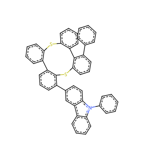 c1ccc(-c2cccc3c2-c2ccccc2Sc2ccccc2-c2cccc(-c4ccc5c(c4)c4ccccc4n5-c4ccccc4)c2S3)cc1